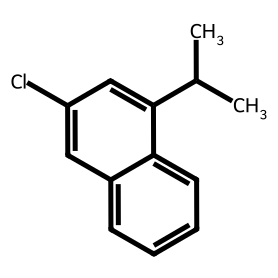 CC(C)c1cc(Cl)cc2ccccc12